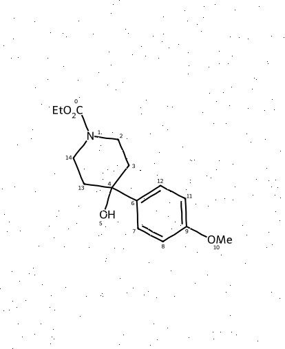 CCOC(=O)N1CCC(O)(c2ccc(OC)cc2)CC1